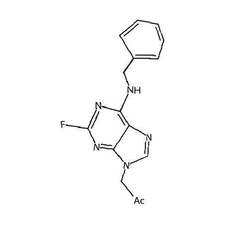 CC(=O)Cn1cnc2c(NCc3ccccc3)nc(F)nc21